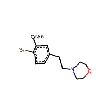 COc1cc(CCN2CCOCC2)ccc1Br